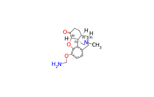 CN1CC[C@]23c4c5ccc(OCN)c4O[C@H]2C(=O)CC[C@H]3[C@H]1C5